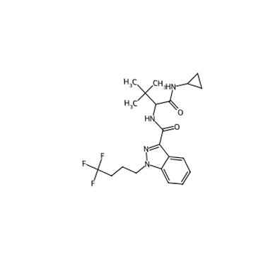 CC(C)(C)C(NC(=O)c1nn(CCCC(F)(F)F)c2ccccc12)C(=O)NC1CC1